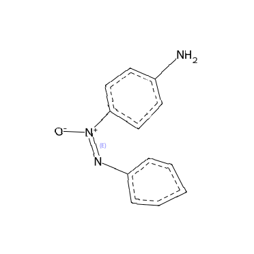 Nc1ccc(/[N+]([O-])=N\c2ccccc2)cc1